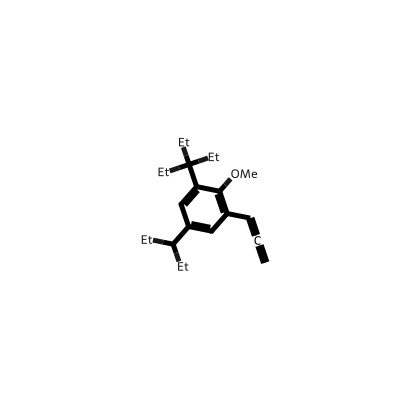 C=C=Cc1cc(C(CC)CC)cc(C(CC)(CC)CC)c1OC